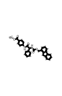 CC(C)(C)OC(=O)c1ccc(NC(=O)C(NC(=O)OCc2cccc3c2Cc2ccccc2-3)c2ccccc2)cc1